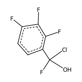 OC(F)(Cl)c1ccc(F)c(F)c1F